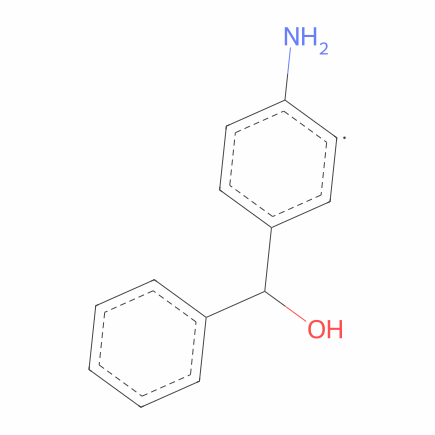 Nc1[c]cc(C(O)c2ccccc2)cc1